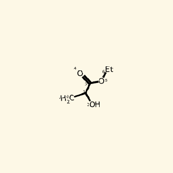 [CH2]C(O)C(=O)OCC